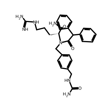 N=C(N)NCCC[C@H](C(N)=O)N(Cc1ccc(CNC(N)=O)cc1)C(=O)C(c1ccccc1)c1ccccc1